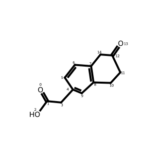 O=C(O)Cc1ccc2c(c1)CCC(=O)C2